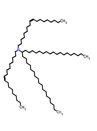 CCCCCCCC/C=C\CCCCCCCCN(CCCCCCCC/C=C\CCCCCCCC)C(CCCCCCCCCCCCCCCCCC)CCCCCCCCCCCCCCCCCC